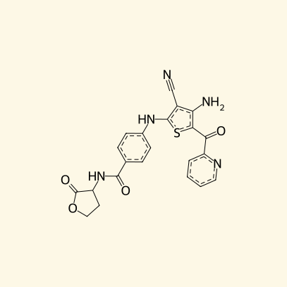 N#Cc1c(Nc2ccc(C(=O)NC3CCOC3=O)cc2)sc(C(=O)c2ccccn2)c1N